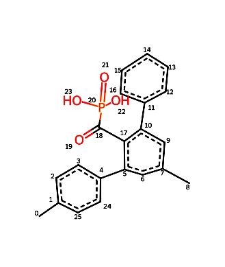 Cc1ccc(-c2cc(C)cc(-c3ccccc3)c2C(=O)P(=O)(O)O)cc1